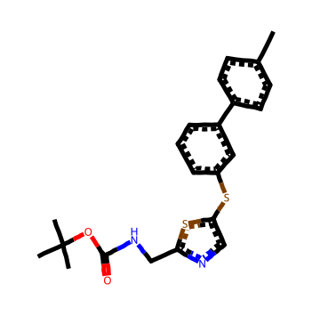 Cc1ccc(-c2cccc(Sc3cnc(CNC(=O)OC(C)(C)C)s3)c2)cc1